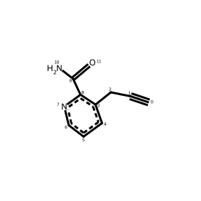 C#CCc1cccnc1C(N)=O